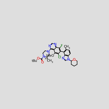 COc1c(Cl)c(-c2c(C)ccc3c2ncn3C2CCCCO2)c(F)c2ncnc(N3CCN(C(=O)OC(C)(C)C)[C@H](C)C3)c12